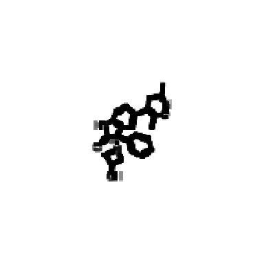 CC1=NOC(C)=C(c2ccc3c(c2)[C@](c2ccccc2)(N2CC(O)C2)C(=O)N3)C1